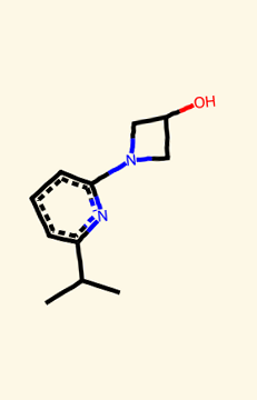 CC(C)c1cccc(N2CC(O)C2)n1